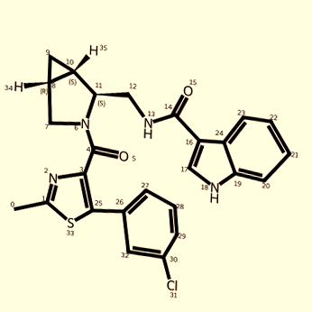 Cc1nc(C(=O)N2C[C@@H]3C[C@@H]3[C@H]2CNC(=O)c2c[nH]c3ccccc23)c(-c2cccc(Cl)c2)s1